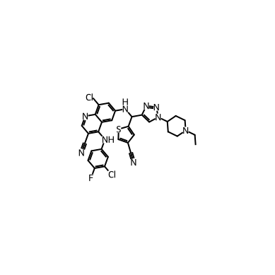 CCN1CCC(n2cc(C(Nc3cc(Cl)c4ncc(C#N)c(Nc5ccc(F)c(Cl)c5)c4c3)c3cc(C#N)cs3)nn2)CC1